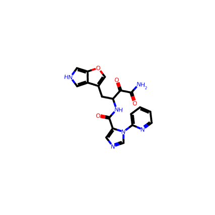 NC(=O)C(=O)C(Cc1coc2c[nH]cc12)NC(=O)c1cncn1-c1ccccn1